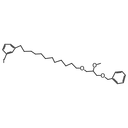 COC(COCCCCCCCCCCCCc1cccc(I)c1)COCc1ccccc1